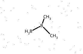 BB(C)C